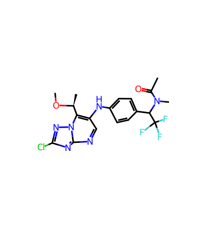 CO[C@@H](C)c1c(Nc2ccc(C(N(C)C(C)=O)C(F)(F)F)cc2)cnc2nc(Cl)nn12